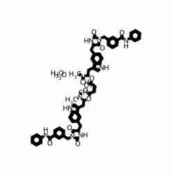 CN(C)C(Cc1c[nH]c2ccc(CC3NC(=O)N(Cc4cccc(C(=O)Nc5ccccc5)c4)C3=O)cc12)OC(=O)/C=C\C(=O)OC(Cc1c[nH]c2ccc(CC3NC(=O)N(Cc4cccc(C(=O)Nc5ccccc5)c4)C3=O)cc12)N(C)C.O.O